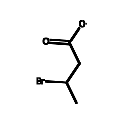 CC(Br)CC([O])=O